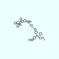 CC/C(=C(\c1ccc(O)cc1)c1ccc(OCCCOCCCNc2ccc3c(c2)CN(C2CCC(=O)NC2=O)C3=O)cc1)c1ccccc1